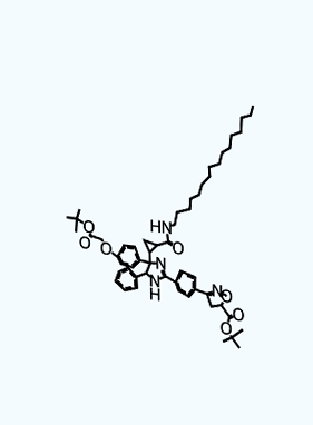 CCCCCCCCCCCCCCCCNC(=O)C1CC1C1(c2ccc(OCC(=O)OC(C)(C)C)cc2)N=C(c2ccc(C3=NOC(C(=O)OC(C)(C)C)C3)cc2)NC1c1ccccc1